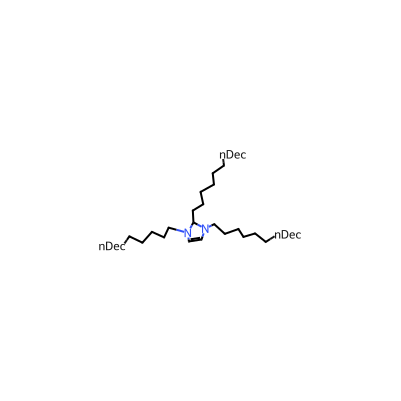 CCCCCCCCCCCCCCCCC1N(CCCCCCCCCCCCCCC)C=CN1CCCCCCCCCCCCCCCC